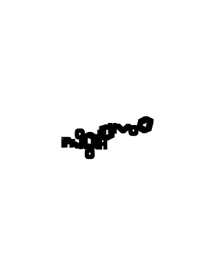 CC(C)Cn1c(=O)cc(N2CCN(CCCOc3ccccc3)CC2)[nH]c1=O